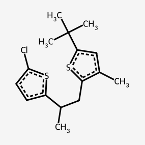 Cc1cc(C(C)(C)C)sc1CC(C)c1ccc(Cl)s1